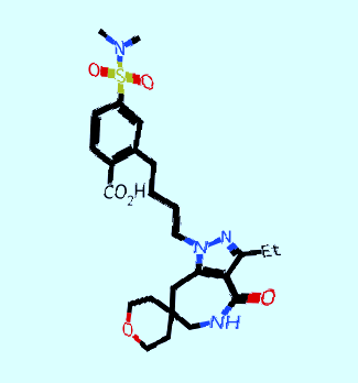 CCc1nn(CCCCc2cc(S(=O)(=O)N(C)C)ccc2C(=O)O)c2c1C(=O)NCC1(CCOCC1)C2